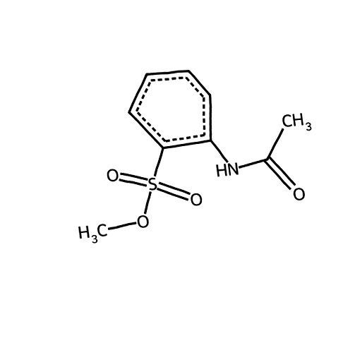 COS(=O)(=O)c1ccccc1NC(C)=O